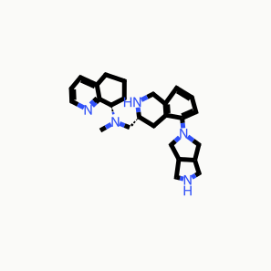 CN(C[C@H]1Cc2c(cccc2N2CC3CNCC3C2)CN1)[C@H]1CCCc2cccnc21